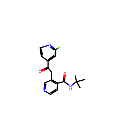 CC(C)(C)NC(=O)c1ccncc1CC(=O)c1ccnc(Cl)c1